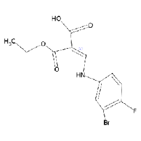 CCOC(=O)/C(=C\Nc1ccc(F)c(Br)c1)C(=O)O